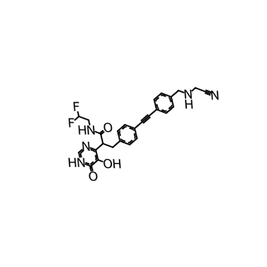 N#CCNCc1ccc(C#Cc2ccc(CC(C(=O)NCC(F)F)c3nc[nH]c(=O)c3O)cc2)cc1